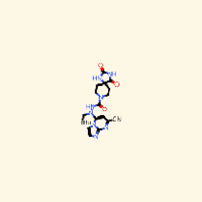 CC(C)(C)CN(NC(=O)N1CCC2(CC1)NC(=O)NC2=O)c1cc(C#N)nc2nccn12